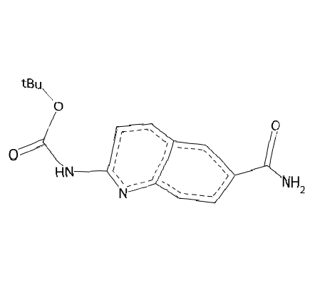 CC(C)(C)OC(=O)Nc1ccc2cc(C(N)=O)ccc2n1